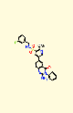 COc1ncc(-c2ccc3nc(N)n(-c4ccccc4)c(=O)c3c2)cc1S(=O)(=O)NCc1cccc(F)c1